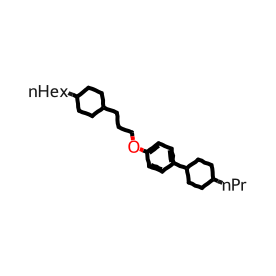 CCCCCCC1CCC(CCCOc2ccc(C3CCC(CCC)CC3)cc2)CC1